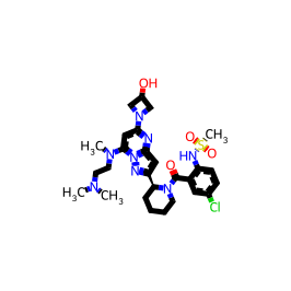 CN(C)CCN(C)c1cc(N2CC(O)C2)nc2cc([C@@H]3CCCCN3C(=O)c3cc(Cl)ccc3NS(C)(=O)=O)nn12